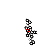 Cc1cc2c3c(c4c(c2cc1C)-c1ccc(C(=O)c2cccc5ccccc25)cc1C41c2ccccc2-c2ccccc21)C1(c2ccccc2-c2ccccc21)c1cc(C(=O)c2cccc4ccccc24)ccc1-3